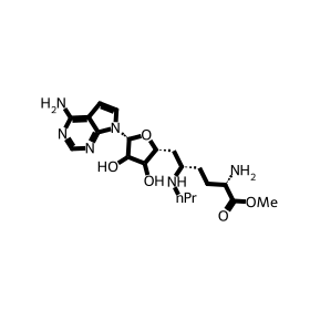 CCCN[C@@H](CC[C@H](N)C(=O)OC)C[C@H]1O[C@@H](n2ccc3c(N)ncnc32)C(O)C1O